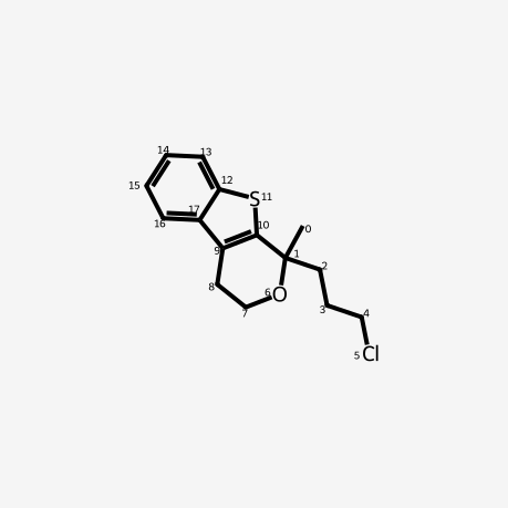 CC1(CCCCl)OCCc2c1sc1ccccc21